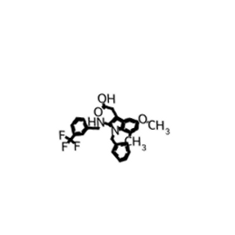 COc1cc(C)c2c(c1)c(CC(=O)O)c(NCc1cccc(C(F)(F)F)c1)n2Cc1ccccc1